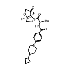 CCC(C)C(NC(=O)c1ccc(N2CCN(C3CCC3)CC2)cc1)C(=O)N1CC[C@H]2OCC(=O)[C@H]21